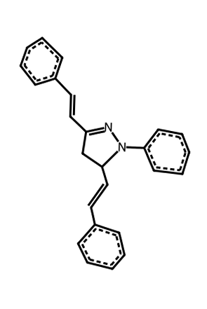 C(=Cc1ccccc1)C1=NN(c2ccccc2)C(C=Cc2ccccc2)C1